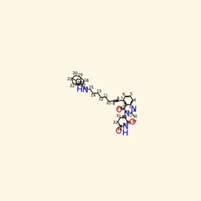 Cc1nc2cccc(C#CCCCCCCNC34CC5CC(CC3C5)C4)c2c(=O)n1[C@@H]1CCC(=O)NC1=O